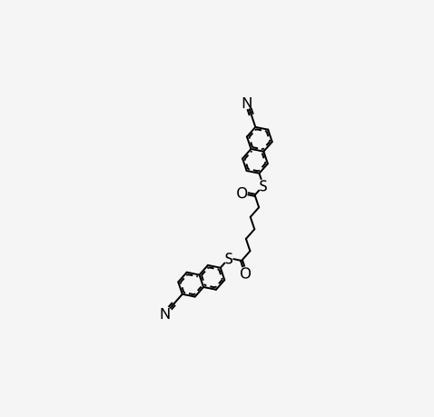 N#Cc1ccc2cc(SC(=O)CCCCCC(=O)Sc3ccc4cc(C#N)ccc4c3)ccc2c1